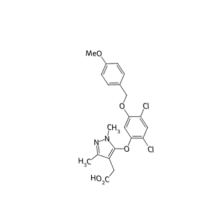 COc1ccc(COc2cc(Oc3c(CC(=O)O)c(C)nn3C)c(Cl)cc2Cl)cc1